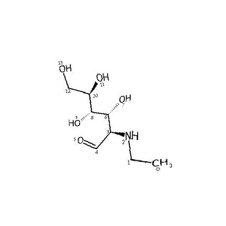 CCN[C@@H](C=O)[C@@H](O)[C@H](O)[C@H](O)CO